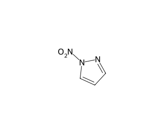 O=[N+]([O-])n1cccn1